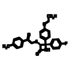 Cc1ccc(C(=O)CS[C@H]2C(=O)N[C@@]2(c2ccc(F)cc2)c2ccc(OCC(=O)O)cc2)cc1